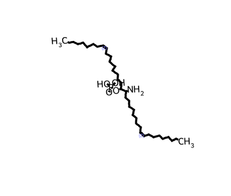 CCCCCCCC/C=C\CCCCCCCCC(N)C(CCCCCCCC/C=C\CCCCCCCC)OP(=O)(O)O